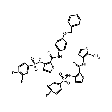 Cc1sccc1NC(=O)c1sccc1NS(=O)(=O)c1ccc(F)c(F)c1.O=C(Nc1ccc(OCc2ccccc2)cc1)c1sccc1NS(=O)(=O)c1ccc(F)c(F)c1